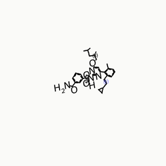 Cc1cccc(/C=C/C2CC2)c1-c1cc(OC[C@H](C)CC(C)C)nc(NS(=O)(=O)c2cccc(C(N)=O)c2)n1